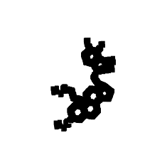 CCCCC12CCC(C)CC1CCC1C2CCC23C1CCC2C3CN1NNc2c1ccc(F)c2F